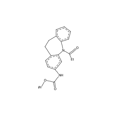 CCC(=O)N1c2ccccc2CCc2ccc(NC(=O)OC(C)C)cc21